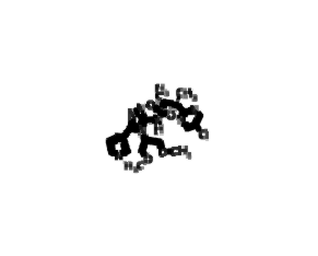 COCC(COC)n1c(NS(=O)(=O)[C@@H](C)[C@H](C)c2ncc(Cl)cn2)nnc1-c1cccnc1